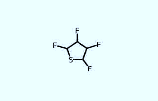 FC1SC(F)C(F)C1F